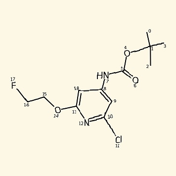 CC(C)(C)OC(=O)Nc1cc(Cl)nc(OCCF)c1